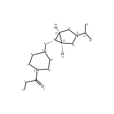 CCC(=O)N1CCN(C[C@@H]2[C@H]3CN(C(C)C)C[C@@H]23)CC1